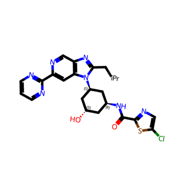 CC(C)Cc1nc2cnc(-c3ncccn3)cc2n1[C@@H]1C[C@@H](O)C[C@H](NC(=O)c2ncc(Cl)s2)C1